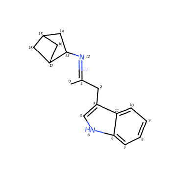 C/C(Cc1c[nH]c2ccccc12)=N\C1CC2CC1C2